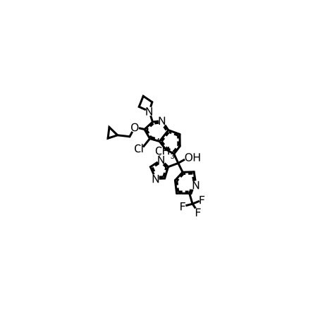 Cn1cncc1C(O)(c1ccc(C(F)(F)F)nc1)c1ccc2nc(N3CCC3)c(OCC3CC3)c(Cl)c2c1